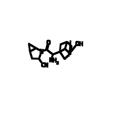 CC1(O)CP2CC3CC(C(N)C(=O)N4C(C#N)CC5CC54)(C2)C31